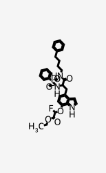 CCOC(=O)C(F)Oc1ccc(CC(NS(=O)(=O)c2ccccc2)C(=O)NCCCCc2ccccc2)c2cc[nH]c12